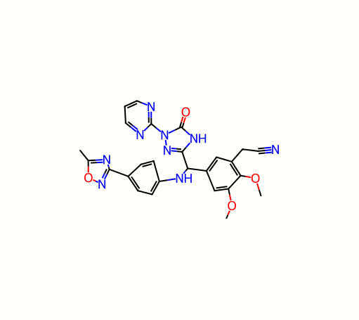 COc1cc(C(Nc2ccc(-c3noc(C)n3)cc2)c2nn(-c3ncccn3)c(=O)[nH]2)cc(CC#N)c1OC